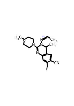 C/C=N\N1C(N2CCN(C)CC2)=Nc2cc(F)c(C#N)cc2C1C